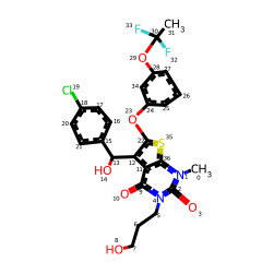 Cn1c(=O)n(CCCO)c(=O)c2c(C(O)c3ccc(Cl)cc3)c(Oc3cccc(OC(C)(F)F)c3)sc21